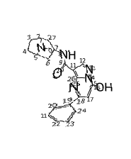 CN1C2CCC1CC(NC(=O)c1cnn3c(O)cc(-c4ccccc4)nc13)C2